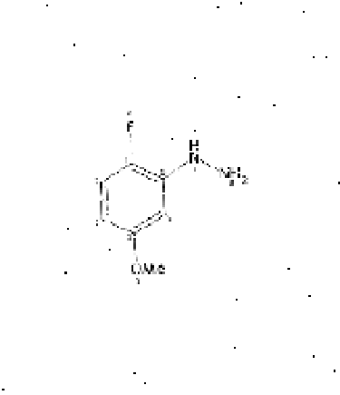 COc1ccc(F)c(NN)c1